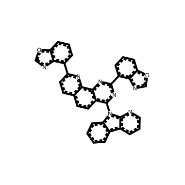 c1cc(-c2ccc3ccc4c(-n5c6ccccc6c6cccnc65)nc(-c5cccc6ocnc56)nc4c3n2)c2ncoc2c1